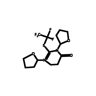 O=C1CC[N+](C2CCCO2)=C(SC(F)(F)C(F)(F)F)N1C1CCCO1